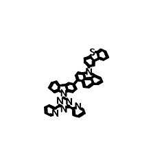 c1ccc(-c2nc(-c3ccccn3)nc(-n3c4ccccc4c4cc(-c5ccc6c7c5ccc5cccc(c57)n6-c5ccc6sc7ccccc7c6c5)ccc43)n2)nc1